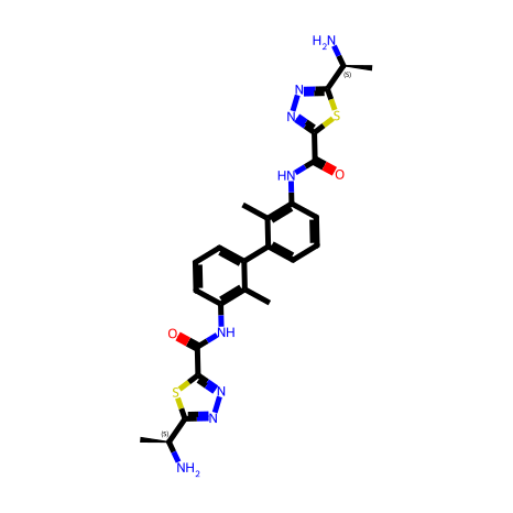 Cc1c(NC(=O)c2nnc([C@H](C)N)s2)cccc1-c1cccc(NC(=O)c2nnc([C@H](C)N)s2)c1C